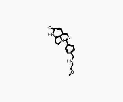 COCCNCc1ccc(C2=NC=C3C=CC(=O)NC4=C3N2CC4)cc1